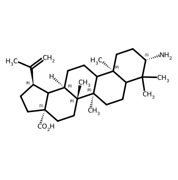 C=C(C)[C@@H]1CC[C@]2(C(=O)O)CC[C@]3(C)[C@H](CCC4[C@@]5(C)CC[C@H](N)C(C)(C)C5CC[C@]43C)C12